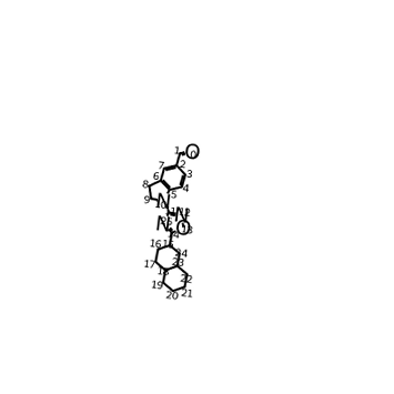 O=Cc1ccc2c(c1)CCN2c1noc(C2CCC3CCCCC3C2)n1